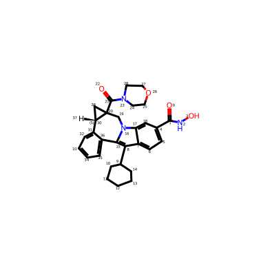 O=C(NO)c1ccc2c(C3CCCCC3)c3n(c2c1)CC1(C(=O)N2CCOCC2)C[C@H]1c1ccccc1-3